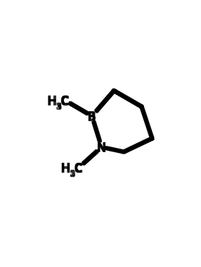 CB1CCCCN1C